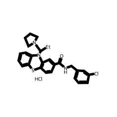 CCC(N1CCCC1)N1c2ccccc2Sc2ccc(C(=O)NCc3cccc(Cl)c3)cc21.Cl